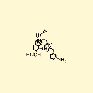 CN(C(=O)Cc1cccc(N)c1)[C@H]1CC[C@@]2(O)[C@H]3Cc4ccc(O)c5c4[C@@]2(CCN3CC2CC2)[C@H]1O5.Cl